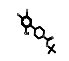 CC(C)(C)OC(=O)N1CCC(c2cc(F)c(F)cc2O)CC1